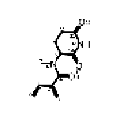 C=CC(=C)C(=O)N(C)C1CCC(=O)NC1=O